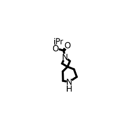 CC(C)OC(=O)N1CC2(CCNCC2)C1